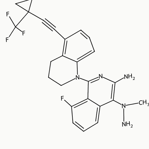 CN(N)c1c(N)nc(N2CCCc3c(C#CC4(C(F)(F)F)CC4)cccc32)c2c(F)cccc12